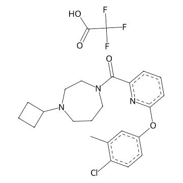 Cc1cc(Oc2cccc(C(=O)N3CCCN(C4CCC4)CC3)n2)ccc1Cl.O=C(O)C(F)(F)F